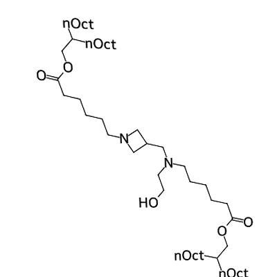 CCCCCCCCC(CCCCCCCC)COC(=O)CCCCCN(CCO)CC1CN(CCCCCC(=O)OCC(CCCCCCCC)CCCCCCCC)C1